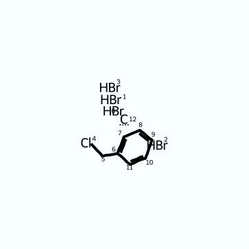 Br.Br.Br.Br.ClCc1ccccc1.[C]